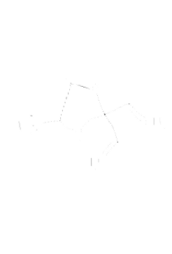 C=CC1(C=C)OCC(C)O1